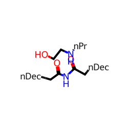 CCCCCCCCCCCC(=O)NC(=O)CCCCCCCCCCC.CCCNCCO